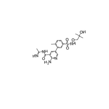 CC(=N)NC(=O)c1cc(-c2cc(S(=O)(=O)NOCC(C)(C)O)ccc2C)cnc1N